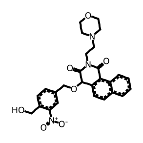 O=C1c2c(ccc3ccccc23)C(OCc2ccc(CO)c([N+](=O)[O-])c2)C(=O)N1CCN1CCOCC1